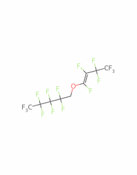 FC(OCC(F)(F)C(F)(F)C(F)(F)C(F)(F)F)=C(F)C(F)(F)C(F)(F)F